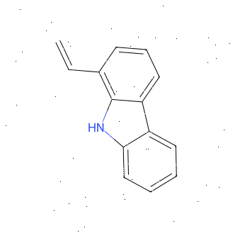 C=Cc1cccc2c1[nH]c1ccccc12